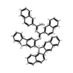 CCC(C)/C(=N\C(=N/c1cc2c(cc1-n1c3cc4ccccc4cc3c3ccc4ccccc4c31)oc1ccccc12)c1ccc2ccccc2c1)c1ccc2ccccc2c1